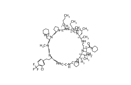 CCCOC[C@@H]1C(C)N[C@@H]([C@@H](C)CC)CN[C@@H](CC(C)C)C(C)NCC2[C@@H](C(=O)N3CCCCC3)C(C)N2[C@@H](C(C)C)C(C)NC2(CCCC2)CNCCNC=CC(CCc2ccc(C(F)(F)F)c(Cl)c2)=NC=CN(C)C=C(CC2CCCCC2)N(C)C=C2CCCN21